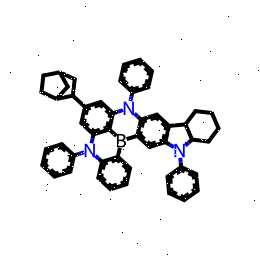 c1ccc(N2c3ccccc3B3c4cc5c(cc4N(c4ccccc4)c4cc(C6CC7CCC6C7)cc2c43)C2CCCCC2N5c2ccccc2)cc1